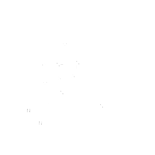 Cc1nn(C)c(C)c1N(C1CCN(C)CC1)S(=O)(=O)[NH+]([O-])C(=O)Nc1c2c(cc3c1CCC3)CCC2